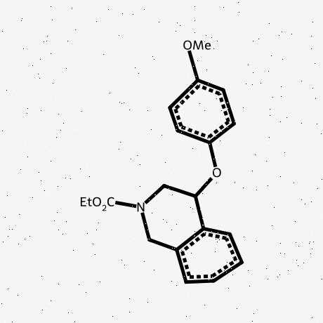 CCOC(=O)N1Cc2ccccc2C(Oc2ccc(OC)cc2)C1